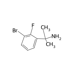 CC(C)(N)c1cccc(Br)c1F